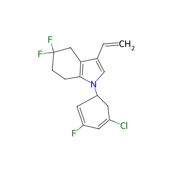 C=Cc1cn(C2C=C(F)C=C(Cl)C2)c2c1CC(F)(F)CC2